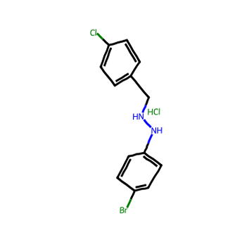 Cl.Clc1ccc(CNNc2ccc(Br)cc2)cc1